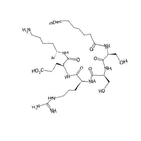 CCCCCCCCCCCCCCCC(=O)N[C@@H](CO)C(=O)N[C@@H](CO)C(=O)N[C@@H](CCCNC(=N)N)C(=O)N[C@@H](CCC(=O)O)C(=O)N[C@@H](CCCCN)C(C)=O